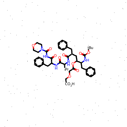 CC(C)C(NC(=O)C(Cc1ccccc1)CC(OC(=O)COCC(=O)O)C(Cc1ccccc1)NC(=O)OC(C)(C)C)C(=O)NC(Cc1ccccc1)C(=O)NC(=O)N1CCOCC1